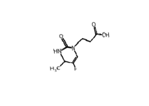 CC1NC(=O)N(CCC(=O)O)C=C1F